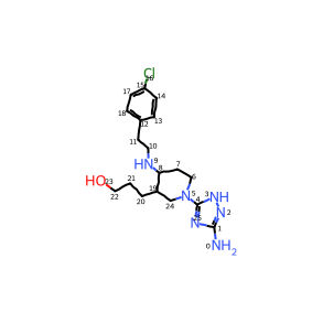 Nc1n[nH]c(N2CCC(NCCc3ccc(Cl)cc3)C(CCCO)C2)n1